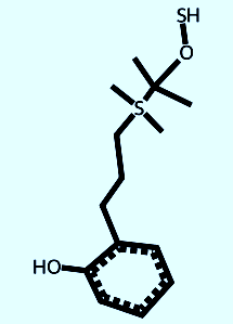 CC(C)(OS)S(C)(C)CCCc1ccccc1O